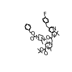 CC1CN(C(=O)OCc2ccccc2)CCN1C[C@H]1CN(C(=O)OC(C)(C)C)[C@H](C)CN1CC(=O)N1CC(C)(C)c2ncc(Cc3ccc(F)cc3)cc21